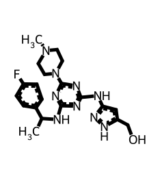 CC(Nc1nc(Nc2cc(CO)[nH]n2)nc(N2CCN(C)CC2)n1)c1ccc(F)cc1